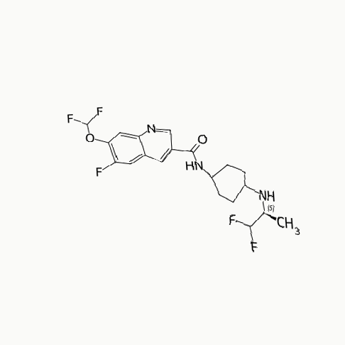 C[C@H](NC1CCC(NC(=O)c2cnc3cc(OC(F)F)c(F)cc3c2)CC1)C(F)F